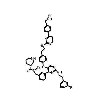 CCN(Cc1cccc(-c2nc(NCCc3cccc(F)c3)ncc2Oc2ccc(CCNc3nccc(-c4ccc(CNC(C)C)cc4)n3)cc2)c1)C(=O)[C@@H]1CCCNC1